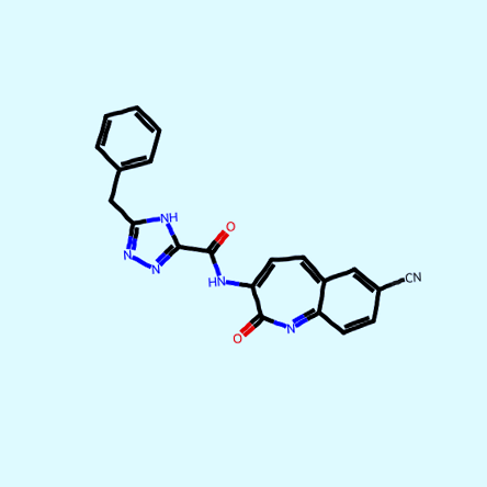 N#Cc1ccc2nc(=O)c(NC(=O)c3nnc(Cc4ccccc4)[nH]3)ccc2c1